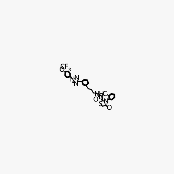 Cc1ccccc1N1C(=O)CSC1=NC(=O)NCCCc1cccc(-c2ncn(-c3ccc(OC(F)(F)F)cc3)n2)c1